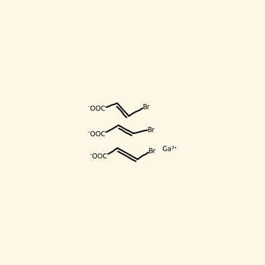 O=C([O-])/C=C/Br.O=C([O-])/C=C/Br.O=C([O-])/C=C/Br.[Ga+3]